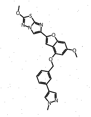 COc1cc(OCc2cccc(-c3cnn(C)c3)c2)c2cc(-c3cn4nc(OC)sc4n3)oc2c1